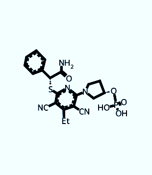 CCc1c(C#N)c(S[C@@H](C(N)=O)c2ccccc2)nc(N2CC[C@H](OP(=O)(O)O)C2)c1C#N